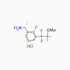 COC(C)(C)C(F)(F)c1cccc([C@@H](C)N)c1F.Cl